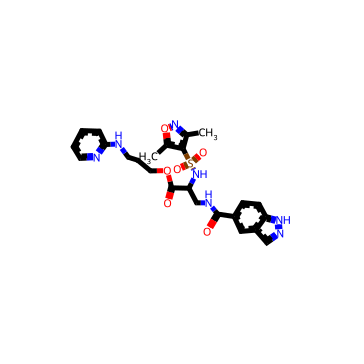 Cc1noc(C)c1S(=O)(=O)NC(CNC(=O)c1ccc2[nH]ncc2c1)C(=O)OCCCNc1ccccn1